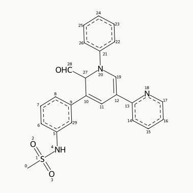 CS(=O)(=O)Nc1cccc(C2=CC(c3ccccn3)=CN(c3ccccc3)C2C=O)c1